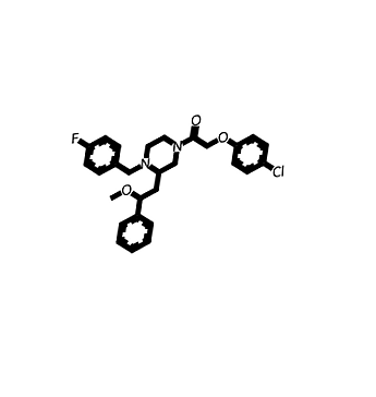 COC(CC1CN(C(=O)COc2ccc(Cl)cc2)CCN1Cc1ccc(F)cc1)c1ccccc1